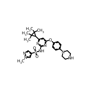 Cn1cc(S(=O)(=O)Nc2nc(Oc3ccc(N4CCNCC4)cc3)cc(C3C(C)(C)C3(C)C)n2)cn1